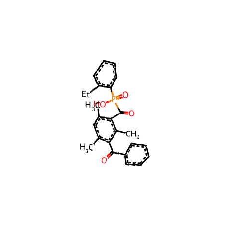 CCc1ccccc1P(=O)(O)C(=O)c1c(C)cc(C)c(C(=O)c2ccccc2)c1C